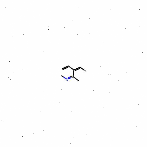 C=CC(=C/C)/C(C)=N\C